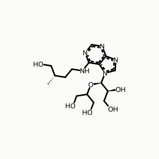 C[C@H](CO)CCNc1ncnc2ncn([C@H](OC(CO)CO)[C@@H](O)CO)c12